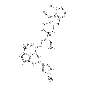 C=N/C(=C\C=C(/C)c1cc(-c2cnn(C)c2)cn2ncc(C#N)c12)N1CCN(C(=O)c2c(F)cccc2F)CC1